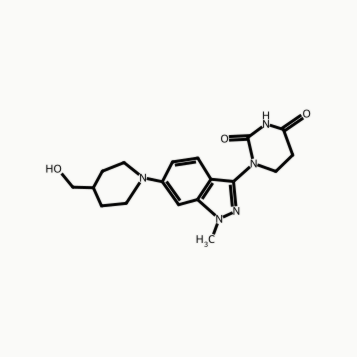 Cn1nc(N2CCC(=O)NC2=O)c2ccc(N3CCC(CO)CC3)cc21